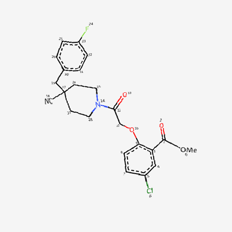 COC(=O)c1cc(Cl)ccc1OCC(=O)N1CCC(C#N)(Cc2ccc(F)cc2)CC1